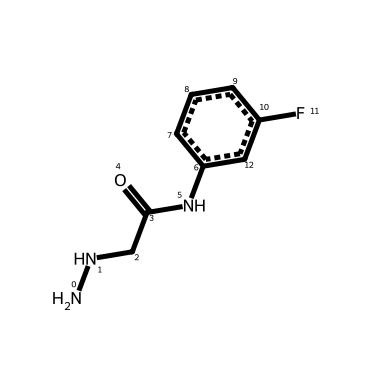 NNCC(=O)Nc1cccc(F)c1